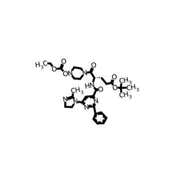 CCOC(=O)ON1CCN(C(=O)[C@H](CCC(=O)OC(C)(C)C)NC(=O)c2cc(N3CCN=C3C)nc(-c3ccccc3)n2)CC1